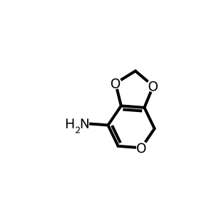 NC1=COCC2=C1OCO2